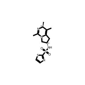 CC1=N[C@@H](C)C(C)=C2C[C@H](NS(=O)(=O)c3nccs3)CN12